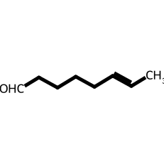 CC=CCCCC[C]=O